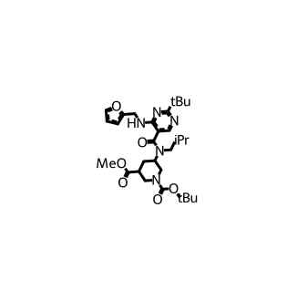 COC(=O)C1CC(N(CC(C)C)C(=O)c2cnc(C(C)(C)C)nc2NCc2ccco2)CN(C(=O)OC(C)(C)C)C1